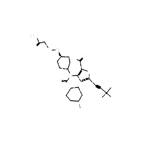 CC(C)(C)C#Cc1cc(N(C(=O)[C@H]2CC[C@H](C)CC2)C2CCC(=NOCC(=O)O)CC2)c(C(=O)O)s1